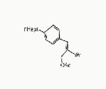 CCCCCCCc1ccc(C=C(COC(C)=O)C(C)C)cc1